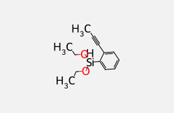 CC#Cc1ccccc1[SiH](OCC)OCC